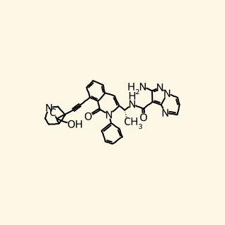 C[C@@H](NC(=O)c1c(N)nn2cccnc12)c1cc2cccc(C#CC3(O)CN4CCC3CC4)c2c(=O)n1-c1ccccc1